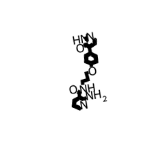 Nc1ncccc1C(=O)NCCCOc1ccc(-c2ccn[nH]c2=O)cc1